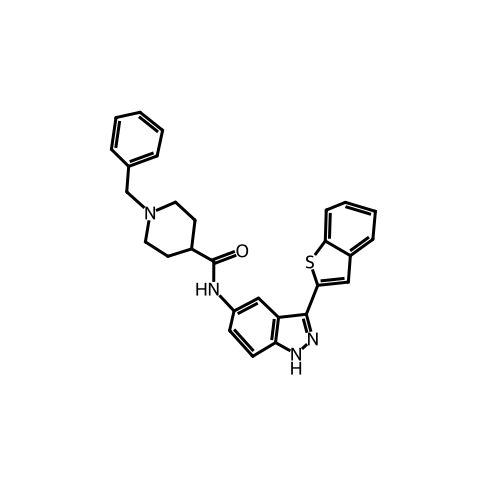 O=C(Nc1ccc2[nH]nc(-c3cc4ccccc4s3)c2c1)C1CCN(Cc2ccccc2)CC1